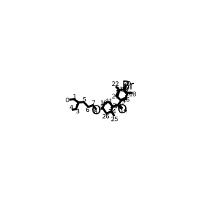 CCC(CC)CCCOC1CCC(C(=O)c2cc(C)c(Br)c(C)c2)C(C)C1